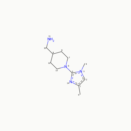 Cc1cn(C)c(N2CCC(CN)CC2)n1